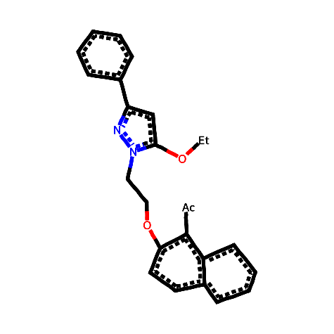 CCOc1cc(-c2ccccc2)nn1CCOc1ccc2ccccc2c1C(C)=O